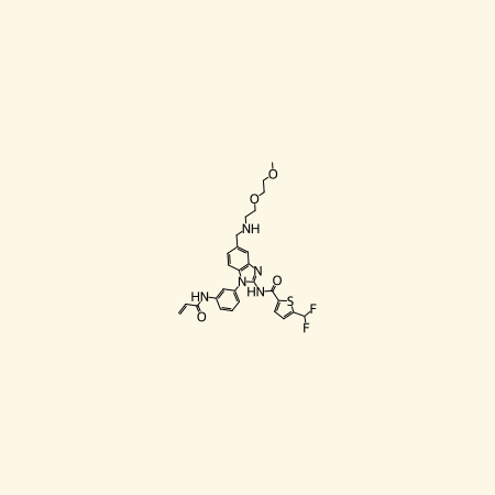 C=CC(=O)Nc1cccc(-n2c(NC(=O)c3ccc(C(F)F)s3)nc3cc(CNCCOCCOC)ccc32)c1